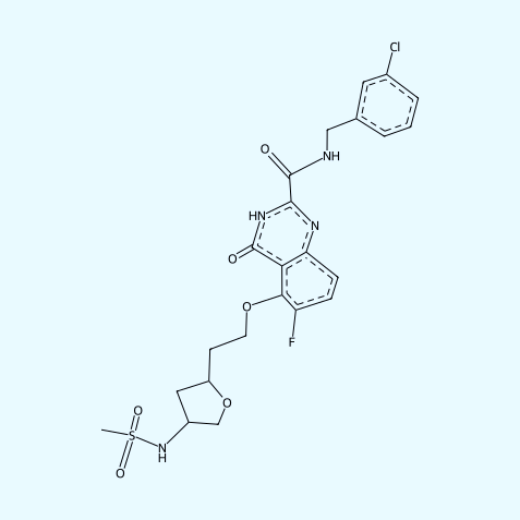 CS(=O)(=O)NC1COC(CCOc2c(F)ccc3nc(C(=O)NCc4cccc(Cl)c4)[nH]c(=O)c23)C1